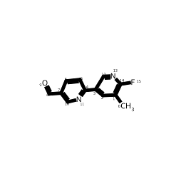 Cc1cc(-c2ccc(C=O)cn2)cnc1F